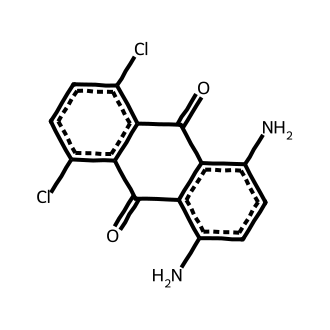 Nc1ccc(N)c2c1C(=O)c1c(Cl)ccc(Cl)c1C2=O